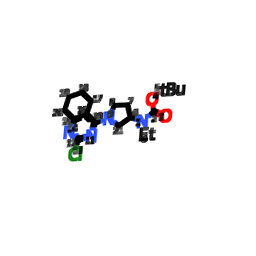 CCN(C(=O)OC(C)(C)C)C1CCN(c2nc(Cl)nc3c2CCCC3)C1